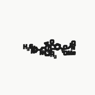 COC[C@H](OCc1cocn1)c1ccc(C(=O)NC2(c3cc(-c4cnn(C)c4)nc4ccccc34)CC2)c(C)c1